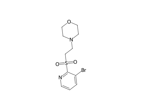 O=S(=O)(CCN1CCOCC1)c1ncccc1Br